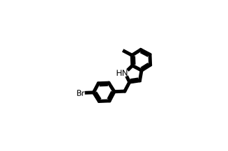 Cc1cccc2cc(Cc3ccc(Br)cc3)[nH]c12